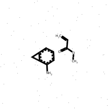 C=CC(=O)OC.Nc1cccc2c1C2